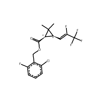 CC1(C)[C@H](C(=O)OCc2c(F)cccc2Cl)[C@@H]1/C=C(\F)C(F)(F)F